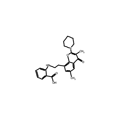 Cc1cc(CCNc2ccccc2C(=O)O)c2oc(N3CCCCC3)c(C)c(=O)c2c1